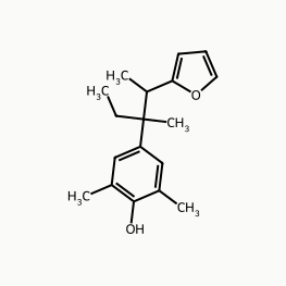 CCC(C)(c1cc(C)c(O)c(C)c1)C(C)c1ccco1